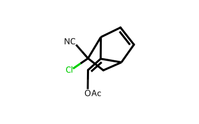 CC(=O)OC=C1C2C=CC1C(Cl)(C#N)C2